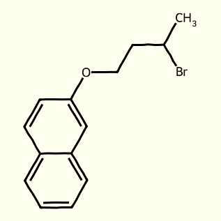 CC(Br)CCOc1ccc2ccccc2c1